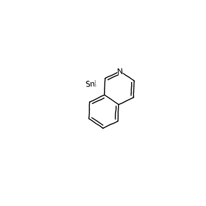 [Sn].c1ccc2cnccc2c1